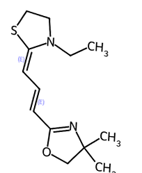 CCN1CCS/C1=C/C=C/C1=NC(C)(C)CO1